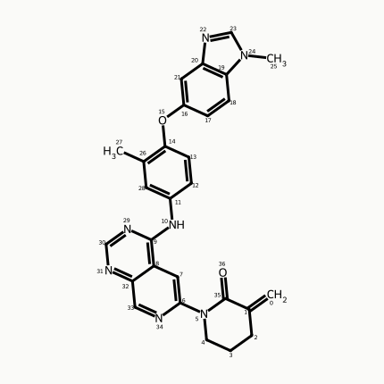 C=C1CCCN(c2cc3c(Nc4ccc(Oc5ccc6c(c5)ncn6C)c(C)c4)ncnc3cn2)C1=O